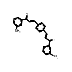 Nc1cccc(C(=O)C=Cc2ccc(C=CC(=O)c3cccc(N)c3)cc2)c1